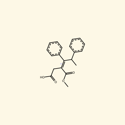 COC(=O)/C(CC(=O)O)=C(/c1ccccc1)C(C)c1ccccc1